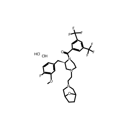 COc1cc(C[C@@H]2CN(CCN3CC4CCC(C3)O4)CCN2C(=O)c2cc(C(F)(F)F)cc(C(F)(F)F)c2)ccc1F.Cl.Cl